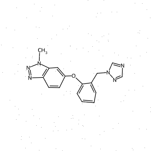 Cn1nnc2ccc(Oc3ccccc3Cn3cncn3)cc21